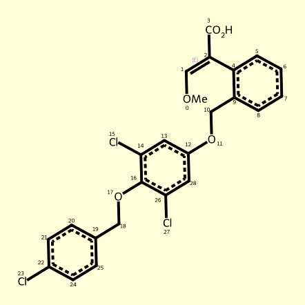 CO/C=C(/C(=O)O)c1ccccc1COc1cc(Cl)c(OCc2ccc(Cl)cc2)c(Cl)c1